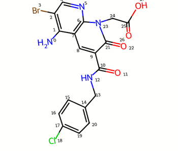 Nc1c(Br)cnc2c1cc(C(=O)NCc1ccc(Cl)cc1)c(=O)n2CC(=O)O